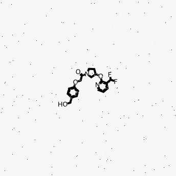 O=C(COc1ccc(CO)cc1)N1CCC(Oc2ncccc2C(F)F)C1